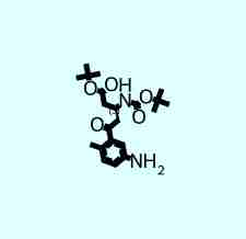 Cc1ccc(N)cc1C(=O)C[C@@H](CC(=O)OC(C)(C)C)NC(=O)OC(C)(C)C